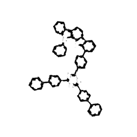 c1ccc(-c2ccc(-c3nc(-c4ccc(-c5ccccc5)cc4)nc(-c4ccc(-c5cccc6c5sc5c6ccc6c7ccccc7n(-c7ccccc7)c65)cc4)n3)cc2)cc1